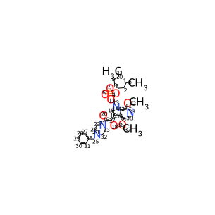 CCCCOP(=O)(OCCCC)OCn1cc(C(=O)C(=O)N2CCN(Cc3ccccc3)CC2)c2c(OC)cnc(OC)c21